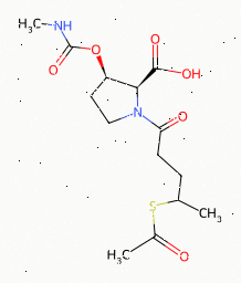 CNC(=O)O[C@@H]1CCN(C(=O)CCC(C)SC(C)=O)[C@@H]1C(=O)O